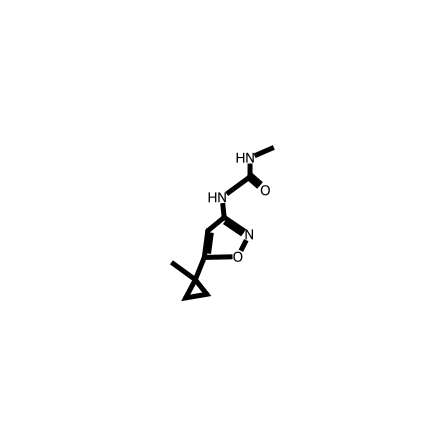 CNC(=O)Nc1cc(C2(C)CC2)on1